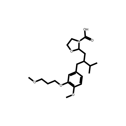 COCCCOc1cc(CC(CC2OCCN2C(=O)O)C(C)C)ccc1OC